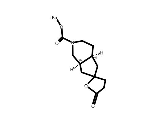 CC(C)(C)OC(=O)N1CC[C@H]2CC3(CCC(=O)O3)C[C@H]2C1